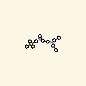 c1ccc(-c2ccc3c(c2)c2cc(-c4ccccc4)ccc2n3-c2ccc(-c3ccc4c(c3)c3ccccc3n4-c3ccc(-c4c5ccccc5c(-c5ccccc5)c5ccccc45)cc3)cc2)cc1